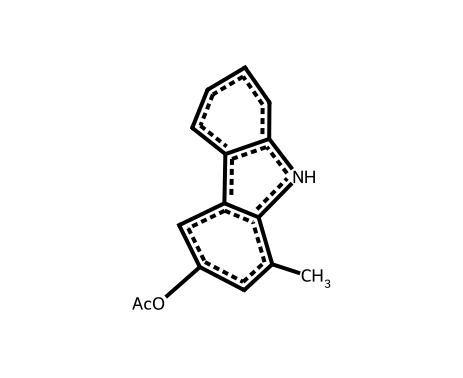 CC(=O)Oc1cc(C)c2[nH]c3ccccc3c2c1